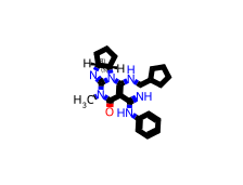 CN1C(=O)C(C(=N)Nc2ccccc2)=C(NCC2CCCC2)N2C1=N[C@@H]1CCC[C@@H]12